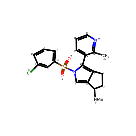 CNC1CCc2c1cn(S(=O)(=O)c1cccc(Cl)c1)c2-c1cccnc1C(F)(F)F